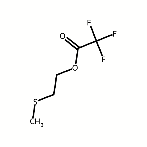 CSCCOC(=O)C(F)(F)F